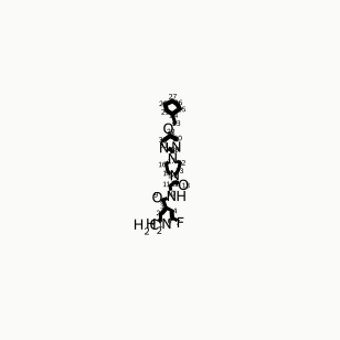 C=C/C=C(\C=C(/N)F)C(=O)NCC(=O)N1CCN(c2ncc(OCc3ccccc3)cn2)CC1